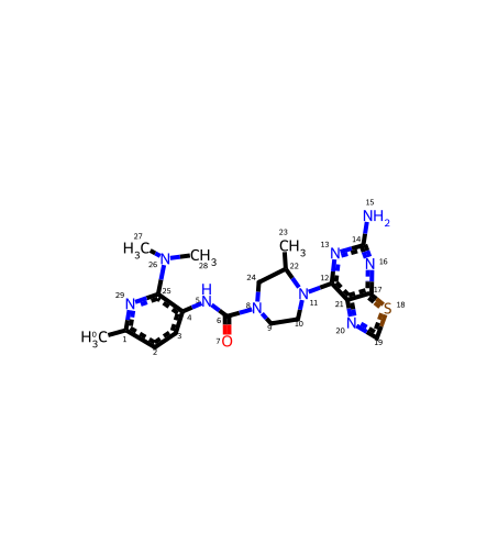 Cc1ccc(NC(=O)N2CCN(c3nc(N)nc4scnc34)C(C)C2)c(N(C)C)n1